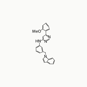 COc1ccccc1-c1cc(Nc2cccc(Cn3ccc4ccccc43)c2)ncn1